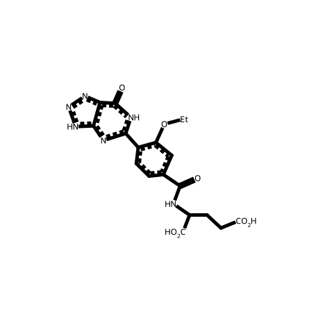 CCOc1cc(C(=O)NC(CCC(=O)O)C(=O)O)ccc1-c1nc2[nH]nnc2c(=O)[nH]1